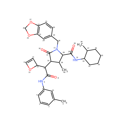 Cc1cccc(NC(=O)C(C2C=CO2)C2C(=O)N(Cc3ccc4c(c3)OCO4)C(C(=O)NC3CCCCC3C)C2C)c1